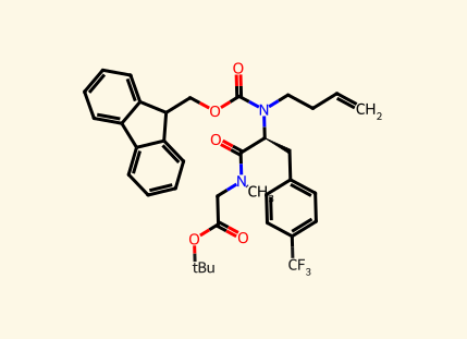 C=CCCN(C(=O)OCC1c2ccccc2-c2ccccc21)[C@@H](Cc1ccc(C(F)(F)F)cc1)C(=O)N(C)CC(=O)OC(C)(C)C